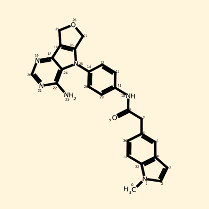 Cn1ccc2cc(CC(=O)Nc3ccc(-n4c5c(c6ncnc(N)c64)COC5)cc3)ccc21